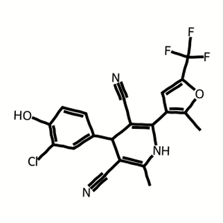 CC1=C(C#N)C(c2ccc(O)c(Cl)c2)C(C#N)=C(c2cc(C(F)(F)F)oc2C)N1